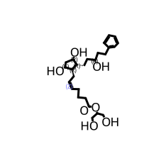 O=C(CCC/C=C\C[C@@H]1[C@@H](CC[C@@H](O)CCc2ccccc2)[C@H](O)C[C@@H]1O)OC(CO)CO